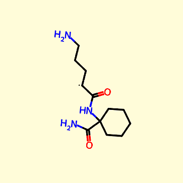 NCCC[CH]C(=O)NC1(C(N)=O)CCCCC1